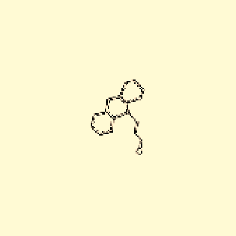 O=CC=Cc1c2ccccc2cc2ccccc12